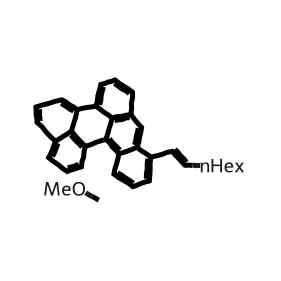 CCCCCCC=Cc1cccc2c1cc1cccc3c4cccc5cccc(c54)c2c13.COC